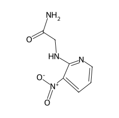 NC(=O)CNc1ncccc1[N+](=O)[O-]